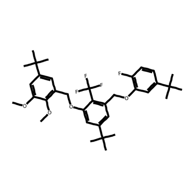 COc1cc(C(C)(C)C)cc(COc2cc(C(C)(C)C)cc(COc3cc(C(C)(C)C)ccc3F)c2C(F)(F)F)c1OC